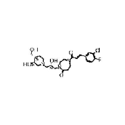 O=C(C=Cc1ccc(F)c(Cl)c1)N1CCC(=O)N(C[C@@H](O)CN2CC[C@@H](CO)[C@H](O)C2)CC1